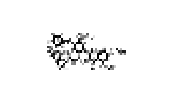 COc1cc(OC)c2c(=O)c(OCCC[SH]3C=NN=C3OS(=O)(=O)c3ccccc3)c(-c3cc(OC)c(OC)c(OC)c3)oc2c1